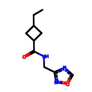 CCC1CC(C(=O)NCc2ncon2)C1